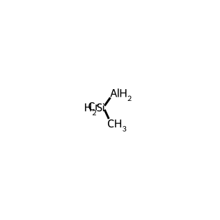 C[SiH2][AlH2].[Cr]